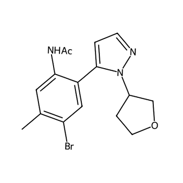 CC(=O)Nc1cc(C)c(Br)cc1-c1ccnn1C1CCOC1